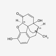 CN1CCC23c4c5ccc(O)c4O[C@H]2C(=O)C=CC3(O)[C@H]1C5